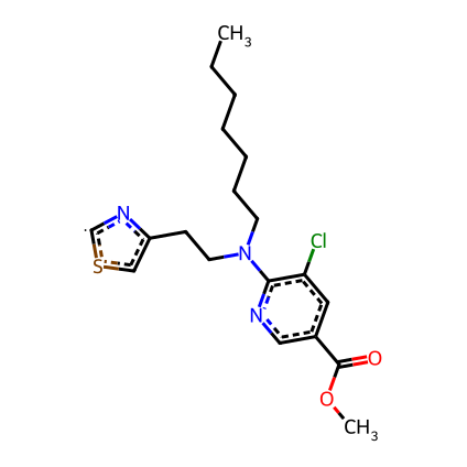 CCCCCCCN(CCc1cs[c]n1)c1ncc(C(=O)OC)cc1Cl